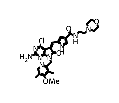 COc1c(C)cnc(CN2C(=O)C(=Cc3cc(C(=O)NCCN4CCOCC4)c[nH]3)c3c(Cl)nc(N)nc32)c1C